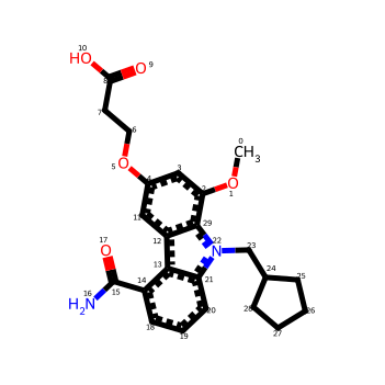 COc1cc(OCCC(=O)O)cc2c3c(C(N)=O)cccc3n(CC3CCCC3)c12